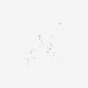 C[C@H](NP(=O)(OC[C@]1(N=[N+]=[N-])CC[C@H](n2ccc(=O)[nH]c2=O)O1)Oc1cccc2ccccc12)C1OC(c2ccccc2)O1